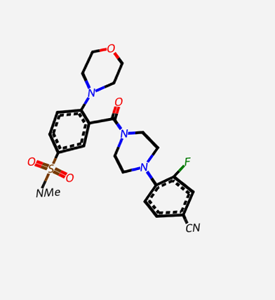 CNS(=O)(=O)c1ccc(N2CCOCC2)c(C(=O)N2CCN(c3ccc(C#N)cc3F)CC2)c1